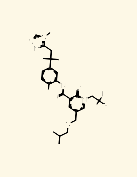 CC(C)CNCc1cc(C(=O)Nc2cc(C(C)(C)Cc3nncn3C)ccc2F)c(=O)n(CC(F)(F)F)c1